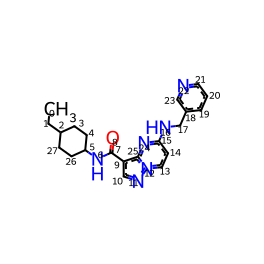 CCC1CCC(NC(=O)c2cnn3ccc(NCc4cccnc4)nc23)CC1